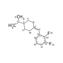 CC(C)C1CCC(=Cc2cccc(F)c2F)CC1